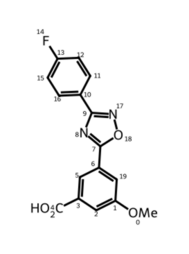 COc1cc(C(=O)O)cc(-c2nc(-c3ccc(F)cc3)no2)c1